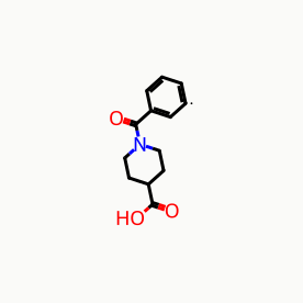 O=C(O)C1CCN(C(=O)c2c[c]ccc2)CC1